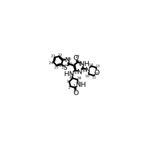 O=C1CCC(Nc2nc(N3CCOCC3)[nH]c(=O)c2-c2nc3ccccc3s2)CN1